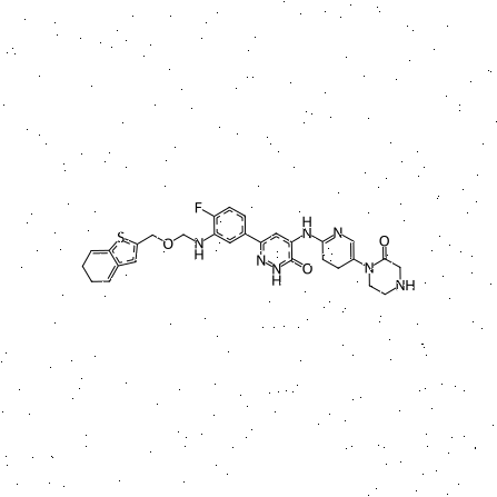 O=C1CNCCN1C1=CN=C(Nc2cc(-c3ccc(F)c(NCOCc4cc5c(s4)=CCCC=5)c3)n[nH]c2=O)CC1